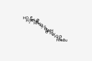 CCCCNC(=O)COCCOCCNC(=O)COCCOCCNC(=O)CCC(N)C(=O)O